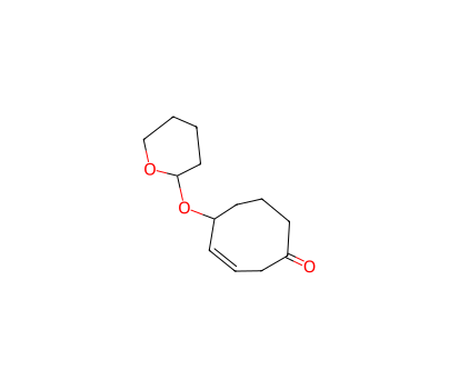 O=C1C/C=C\C(OC2CCCCO2)CCC1